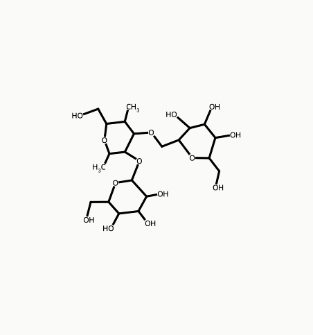 CC1OC(CO)C(C)C(OCC2OC(CO)C(O)C(O)C2O)C1OC1OC(CO)C(O)C(O)C1O